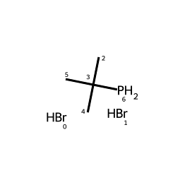 Br.Br.CC(C)(C)P